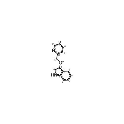 [c]1[nH]c2ccccc2c1OCc1ccccn1